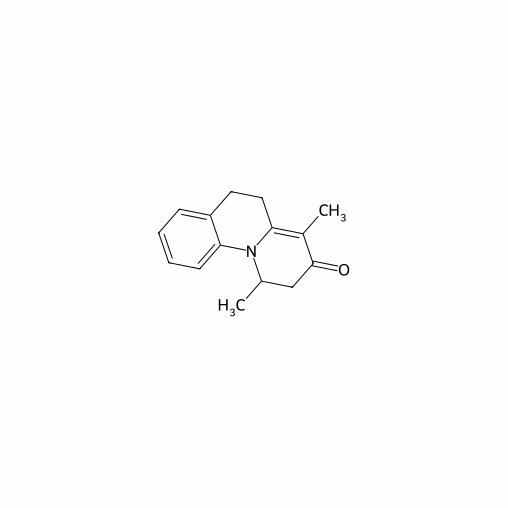 CC1=C2CCc3ccccc3N2C(C)CC1=O